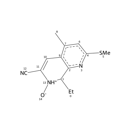 CCC1c2nc(SC)cc(C)c2C=C(C#N)[NH+]1[O-]